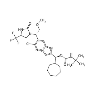 COC[C@H](c1cc2nc([C@@H](OC(=O)NC(C)(C)C)C3CCCCCC3)cn2nc1Cl)N1CC(C(F)(F)F)NC1=O